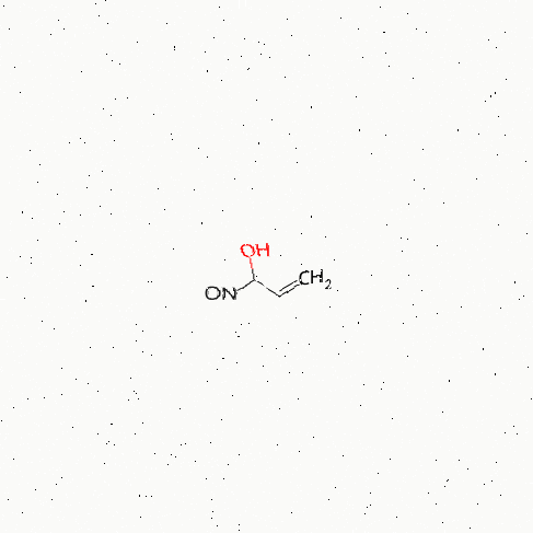 C=CC(O)N=O